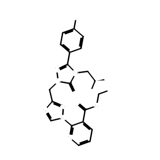 O=C(NCC(F)(F)F)c1cccnc1-n1cnc(Cn2nc(-c3ccc(Cl)cc3)n(C[C@H](O)C(F)(F)F)c2=O)n1